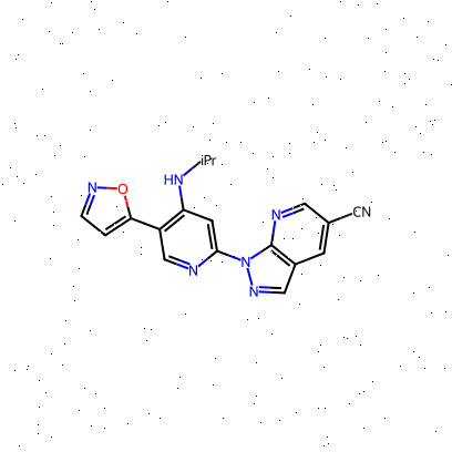 CC(C)Nc1cc(-n2ncc3cc(C#N)cnc32)ncc1-c1ccno1